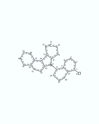 Clc1cccc2c(-n3c4ccccc4c4c5ccccc5ccc43)cccc12